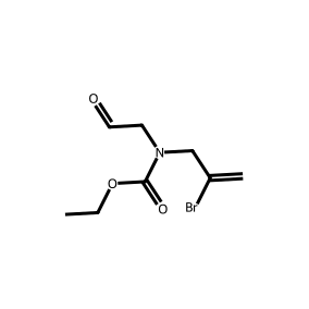 C=C(Br)CN(CC=O)C(=O)OCC